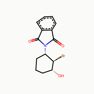 O=C1c2ccccc2C(=O)N1[C@H]1CCC[C@@H](O)[C@@H]1Br